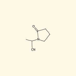 CC(C#N)N1CCCC1=O